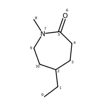 CCC1CCC(=O)N(C)CC1